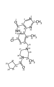 Cc1ncc(C(N)=O)c(-c2cc(Cl)cc(CN3CCN(C(=O)C4CCCC4)C(C)C3)c2C)n1